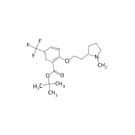 CN1CCCC1CCOc1ccc(C(F)(F)F)cc1C(=O)OC(C)(C)C